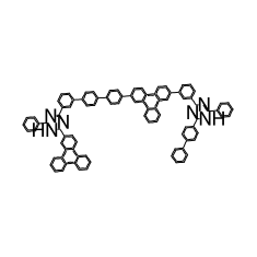 c1ccc(C2=NC(c3cccc(-c4ccc5c6ccc(-c7ccc(-c8ccc(-c9cccc(C%10=NC(c%11ccccc%11)NC(c%11ccc%12c%13ccccc%13c%13ccccc%13c%12c%11)=N%10)c9)cc8)cc7)cc6c6ccccc6c5c4)c3)=NC(c3ccc(-c4ccccc4)cc3)N2)cc1